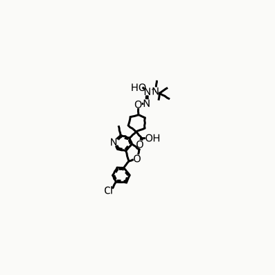 Cc1ncc2c(c1C1(C(=O)O)CCC(O/N=[N+](\O)N(C)C(C)(C)C)CC1)COC2c1ccc(Cl)cc1